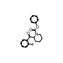 O=C(c1ccccc1F)C1CCCCN1C(=O)Oc1ccccc1